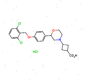 Cl.O=C(O)C1CC(N2CCOC(c3ccc(OCc4c(Cl)cccc4Cl)cc3)C2)C1